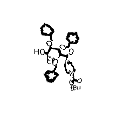 CC[C@@H](O)[C@@H](OCc1ccccc1)[C@H](OCc1ccccc1)[C@@H](OCc1ccccc1)C(=O)N1CCN(C(=O)OC(C)(C)C)CC1